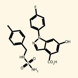 Cc1ccc(CNS(N)(=O)=O)cc1.O=C(O)c1cc(O)cc2c1cnn2-c1ccc(F)cc1